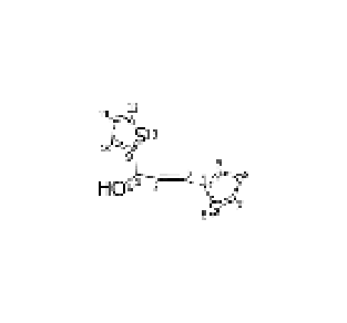 OC(C#Cc1cccs1)c1cccs1